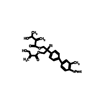 C=C(CO)C(=O)OCC(CC)(COC(=O)C(=C)C(C)O)c1ccc(-c2ccc(CCCCC)c(C)c2)cc1